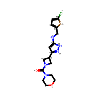 O=C(N1CCOCC1)N1CC(c2cc(NCc3ccc(Cl)s3)[nH]n2)C1